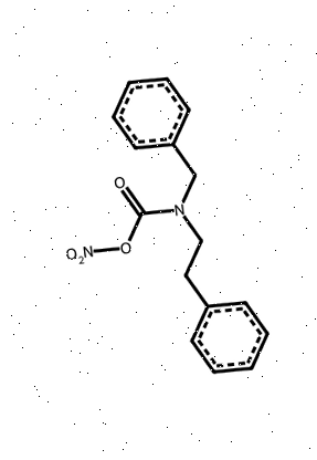 O=C(O[N+](=O)[O-])N(CCc1ccccc1)Cc1ccccc1